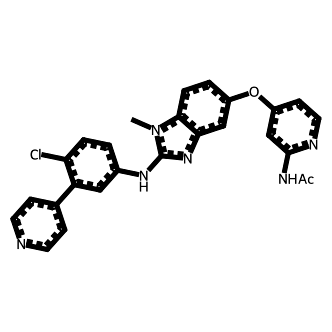 CC(=O)Nc1cc(Oc2ccc3c(c2)nc(Nc2ccc(Cl)c(-c4ccncc4)c2)n3C)ccn1